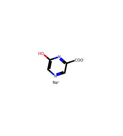 O=C([O-])c1cncc(O)n1.[Na+]